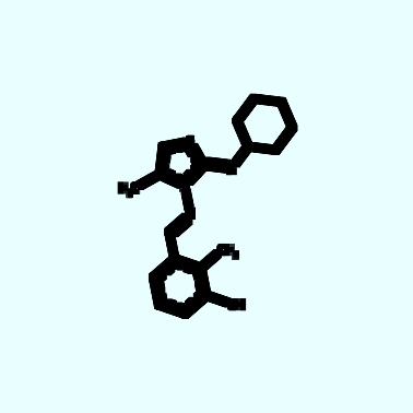 Cc1c(O)cccc1/C=N/n1c(C)cs/c1=N\C1CCCCC1